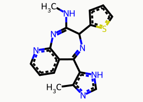 CNC1=Nc2ncccc2C(c2[nH]cnc2C)=NC1c1cccs1